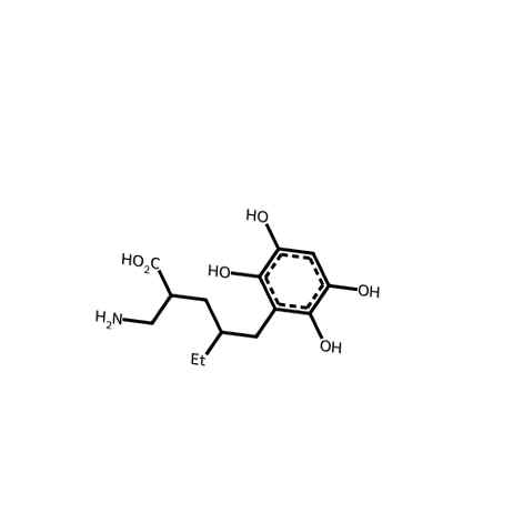 CCC(Cc1c(O)c(O)cc(O)c1O)CC(CN)C(=O)O